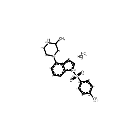 CC1CN(c2cccc3c2ccn3S(=O)(=O)c2ccc(C(F)(F)F)cc2)CCN1.Cl.Cl